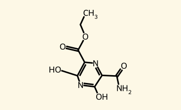 CCOC(=O)c1nc(C(N)=O)c(O)nc1O